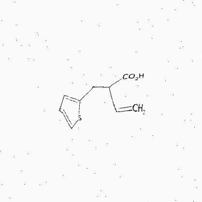 C=CC(Cc1cccs1)C(=O)O